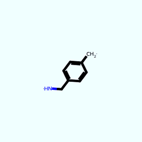 [CH2]c1ccc(C[NH])cc1